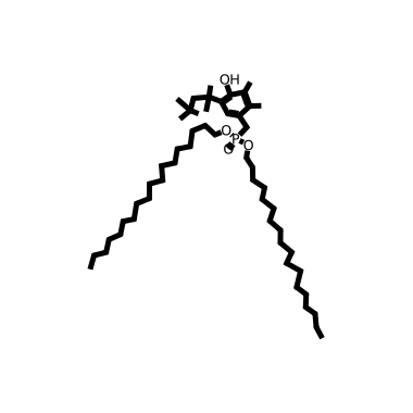 CCCCCCCCCCCCCCCCCCOP(=O)(Cc1cc(C(C)(C)CC(C)(C)C)c(O)c(C)c1C)OCCCCCCCCCCCCCCCCCC